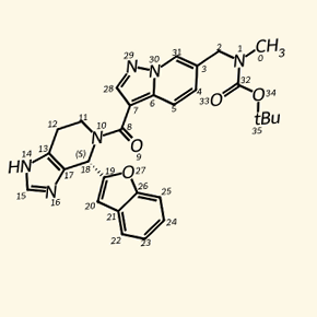 CN(Cc1ccc2c(C(=O)N3CCc4[nH]cnc4[C@H]3c3cc4ccccc4o3)cnn2c1)C(=O)OC(C)(C)C